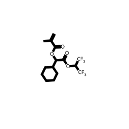 C=C(C)C(=O)OC(C(=O)OC(C(F)(F)F)C(F)(F)F)C1CCCCC1